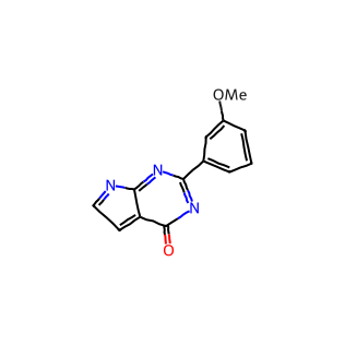 COc1cccc(C2=NC(=O)C3=CC=NC3=N2)c1